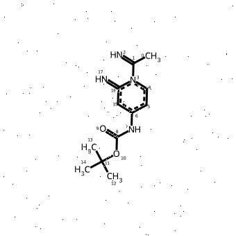 CC(=N)n1ccc(NC(=O)OC(C)(C)C)cc1=N